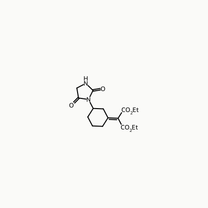 CCOC(=O)C(C(=O)OCC)=C1CCCC(N2C(=O)CNC2=O)C1